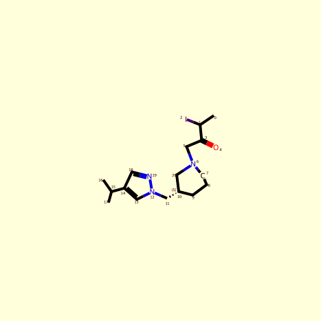 CC(I)C(=O)CN1CCC[C@H](Cn2cc(C(C)C)cn2)C1